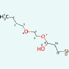 CCCCOCCOC(O)CCS